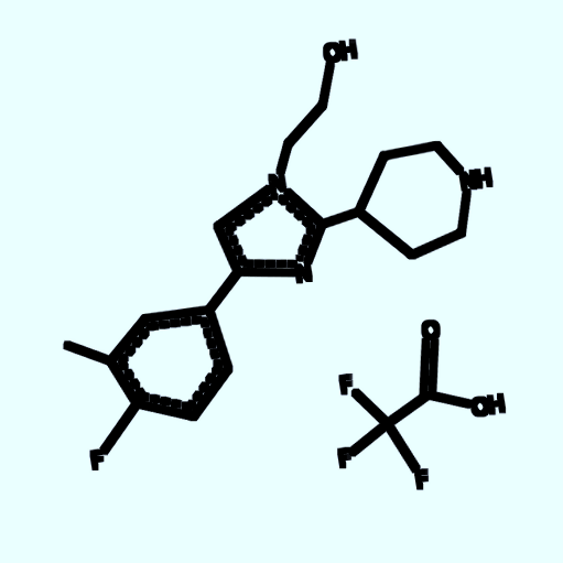 Cc1cc(-c2cn(CCO)c(C3CCNCC3)n2)ccc1F.O=C(O)C(F)(F)F